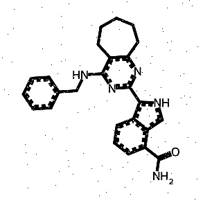 NC(=O)c1cccc2c(-c3nc4c(c(NCc5ccccc5)n3)CCCCC4)[nH]cc12